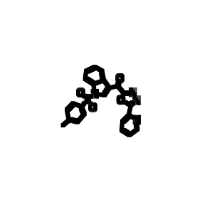 Cc1ccc(S(=O)(=O)n2cc(C(=O)c3nnc(-c4ccccn4)o3)c3ccccc32)cc1